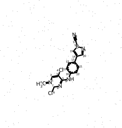 C=N/C=C(Cl)\C(=N/CCl)Nc1ccc(C2=CB(C#N)N=C2)cc1